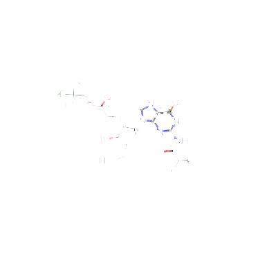 CC[C@H]1O[C@@H](n2cnc3c(=O)[nH]c(NC(=O)C(C)C)nc32)[C@@H](OCC(=O)OCC(F)(F)F)C1O